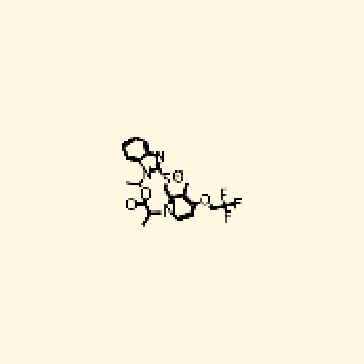 Cc1c(OCC(F)(F)F)ccnc1C[S+]([O-])c1nc2ccccc2n1C(C)OC(=O)C(C)C